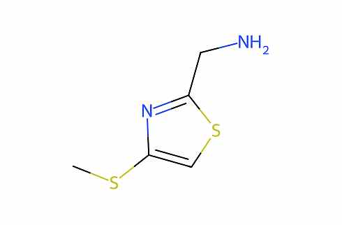 CSc1csc(CN)n1